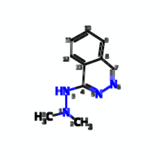 CN(C)Nc1nncc2ccccc12